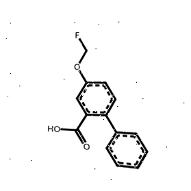 O=C(O)c1cc(OCF)ccc1-c1ccccc1